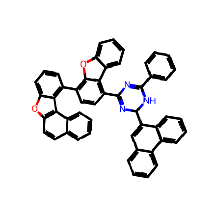 c1ccc(C2=NC(c3ccc(-c4cccc5oc6ccc7ccccc7c6c45)c4oc5ccccc5c34)=NC(c3cc4ccccc4c4ccccc34)N2)cc1